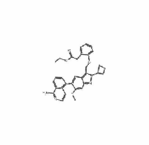 CCOC(=O)Cc1ccccc1OCc1c2cc(-c3cccc4c(N)nccc34)c(OC)cc2nn1C1CCC1